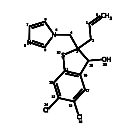 C=CCC1(Cn2ccnc2)Sc2cc(Cl)c(Cl)cc2C1O